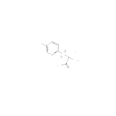 Cc1ccc(S(=O)(=O)[C@@](C)(O)C(=O)O)cc1